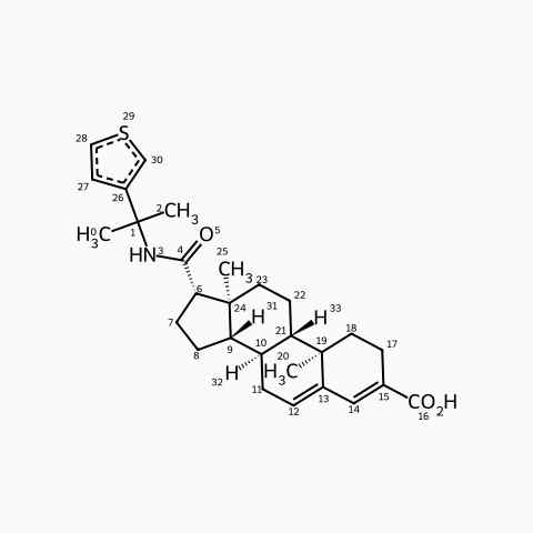 CC(C)(NC(=O)[C@H]1CC[C@H]2[C@@H]3CC=C4C=C(C(=O)O)CC[C@]4(C)[C@H]3CC[C@]12C)c1ccsc1